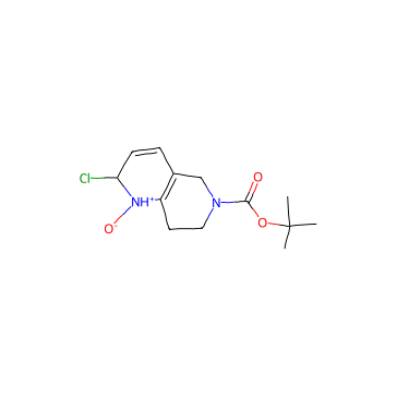 CC(C)(C)OC(=O)N1CCC2=C(C=CC(Cl)[NH+]2[O-])C1